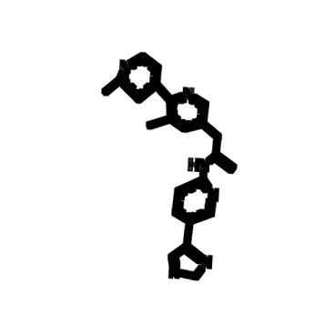 C=C(Cc1cnc(-c2ccnc(C)c2)c(C)c1)Nc1ccc(C2=NCN=C2)cn1